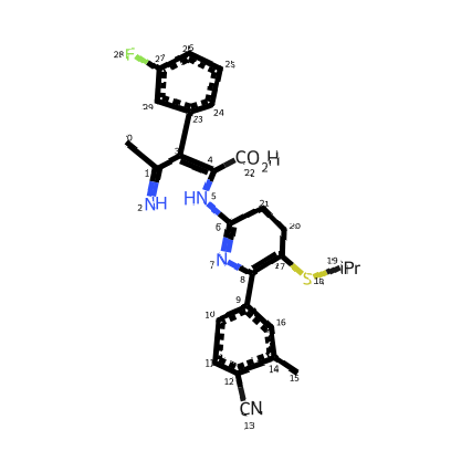 CC(=N)/C(=C(\NC1=NC(c2ccc(C#N)c(C)c2)=C(SC(C)C)CC1)C(=O)O)c1cccc(F)c1